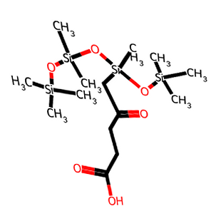 C[Si](C)(C)O[Si](C)(C)O[Si](C)(CC(=O)CCC(=O)O)O[Si](C)(C)C